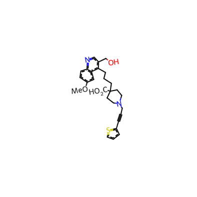 COc1ccc2ncc(CO)c(CCCC3(C(=O)O)CCN(CC#Cc4cccs4)CC3)c2c1